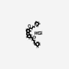 Cl.Cl.O=C(CCCN1CCCCC1)c1ccc2c(c1)-c1cc(C(=O)CCCN3CCCCC3)ccc1C2